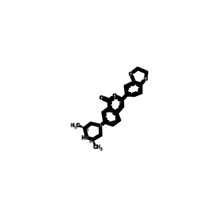 C[C@@H]1CN(c2ccc3cc(-c4ccc5c(c4)OCCO5)oc(=O)c3c2)C[C@H](C)N1